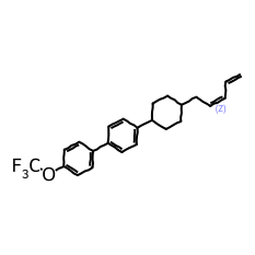 C=C/C=C\CC1CCC(c2ccc(-c3ccc(OC(F)(F)F)cc3)cc2)CC1